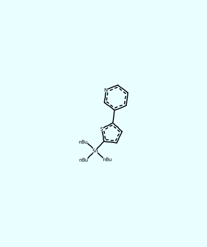 CCC[CH2][Sn]([CH2]CCC)([CH2]CCC)[c]1ccc(-c2cccnc2)s1